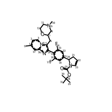 Cc1ccn2c(CC3CN(C)CCO3)c(-c3c(F)cc(C4CC=CN4C(=O)OC(C)(C)C)cc3F)nc2c1